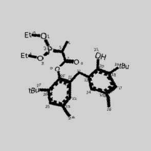 CCOP(OCC)C(C)C(=O)Oc1c(Cc2cc(C)cc(C(C)(C)C)c2O)cc(C)cc1C(C)(C)C